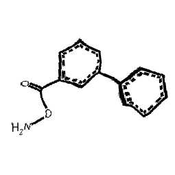 NOC(=O)c1cccc(-c2ccccc2)c1